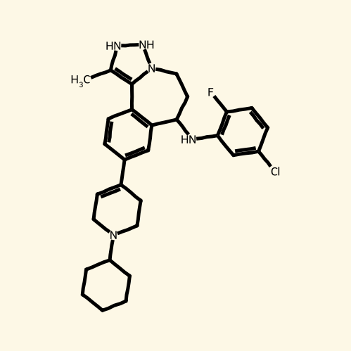 CC1=C2c3ccc(C4=CCN(C5CCCCC5)CC4)cc3C(Nc3cc(Cl)ccc3F)CCN2NN1